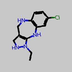 CCN1NCC2=C1Nc1cc(Cl)ccc1NC2